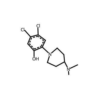 CN(C)C1CCN(c2cc(Cl)c(Cl)cc2O)CC1